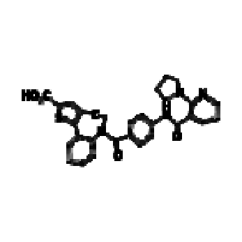 O=C(O)c1cc2c(s1)-c1ccccc1N(C(=O)c1ccc(NC(=O)c3cccnc3N3CCCC3)cc1)CC2